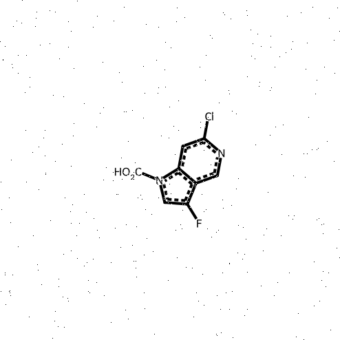 O=C(O)n1cc(F)c2cnc(Cl)cc21